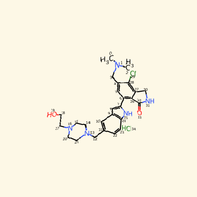 CN(C)Cc1cc(-c2cc3cc(CN4CCN(CCO)CC4)ccc3[nH]2)c2c(c1Cl)CNC2=O.Cl